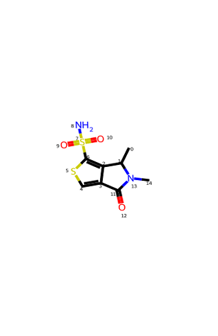 CC1c2c(csc2S(N)(=O)=O)C(=O)N1C